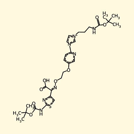 CC(C)(C)OC(=O)NCCC[n+]1ccn(-c2ccc(OCCON=C(C(=O)O)c3csc(NC(=O)OC(C)(C)C)n3)cn2)c1